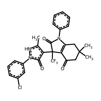 Cc1[nH]n(-c2cccc(Cl)c2)c(=O)c1C1(C(F)(F)F)C(=O)N(c2ccccc2)C2=C1C(=O)CC(C)(C)C2